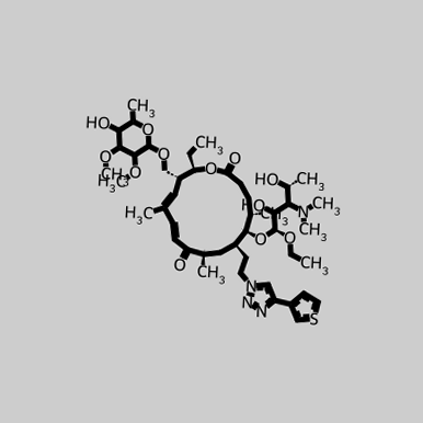 CCO[C@@H](O[C@H]1[C@@H](CCn2cc(-c3ccsc3)nn2)C[C@@H](C)C(=O)/C=C/C(C)=C/[C@H](COC2OC(C)C(O)C(OC)C2OC)[C@@H](CC)OC(=O)CC[C@@H]1C)C(O)C([C@@H](C)O)N(C)C